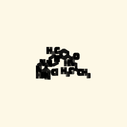 Cc1ccc(C(=O)NCC(C)C)cc1N1CCN(c2ncnc3[nH]nc(Cl)c23)CC1